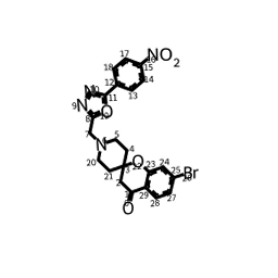 O=C1CC2(CCN(Cc3nnc(-c4ccc([N+](=O)[O-])cc4)o3)CC2)Oc2cc(Br)ccc21